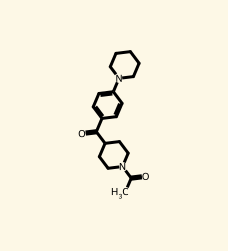 CC(=O)N1CCC(C(=O)c2ccc(N3CCCCC3)cc2)CC1